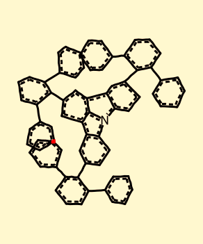 c1ccc(-c2cccc(-c3ccccc3)c2-c2ccc3c(c2)c2cc(-c4c(-c5ccccc5)cccc4-c4ccccc4)cc4c5cc(-c6c(-c7ccccc7)cccc6-c6ccccc6)ccc5n3c24)cc1